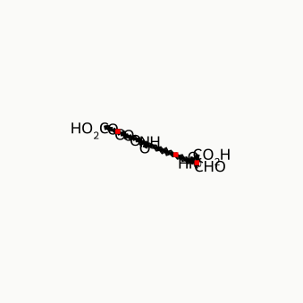 O=[C][C@H](CCC(=O)O)NC(=O)CCCCCCCCCCCCCCCCC(=O)NCCOCCOCCOCCOCCC(=O)O